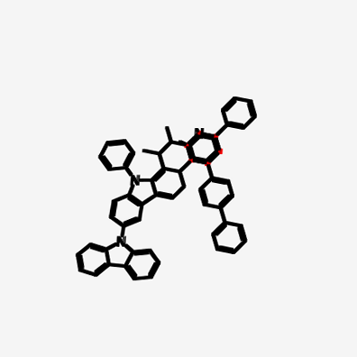 Cc1ccccc1C1CC=c2c(n(-c3ccccc3)c3ccc(-n4c5ccccc5c5ccccc54)cc23)=C1C(C)C(C)c1cc(-c2ccc(-c3ccccc3)cc2)cc(-c2ccccc2)n1